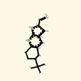 CC(C)(C)C1CCc2nc3sc(C=O)cc3cc2C1